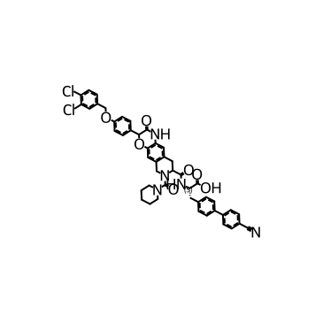 N#Cc1ccc(-c2ccc(C[C@H](NC(=O)C3Cc4cc5c(cc4CN3C(=O)N3CCCCC3)OC(c3ccc(OCc4ccc(Cl)c(Cl)c4)cc3)C(=O)N5)C(=O)O)cc2)cc1